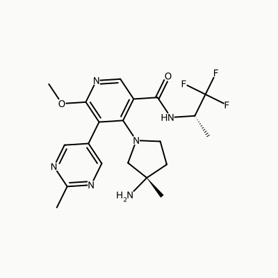 COc1ncc(C(=O)N[C@@H](C)C(F)(F)F)c(N2CC[C@](C)(N)C2)c1-c1cnc(C)nc1